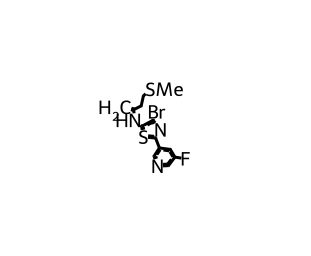 C=C(CCSC)Nc1sc(-c2cncc(F)c2)nc1Br